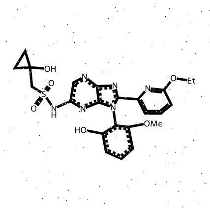 CCOC1=NC(c2nc3ncc(NS(=O)(=O)CC4(O)CC4)nc3n2-c2c(O)cccc2OC)=C=C=C1